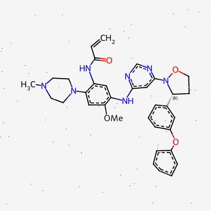 C=CC(=O)Nc1cc(Nc2cc(N3OCC[C@@H]3c3cccc(Oc4ccccc4)c3)ncn2)c(OC)cc1N1CCN(C)CC1